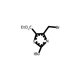 CCOC(=O)c1sc(C(C)(C)C)nc1CBr